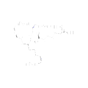 CCCCCC=C=CCCC(CCC/C=C\CCCCC)C(CC/C=C\CCCCC)OC(=O)CCCCCN(C)C